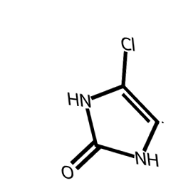 O=c1[nH][c]c(Cl)[nH]1